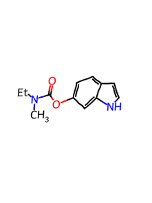 CCN(C)C(=O)Oc1ccc2cc[nH]c2c1